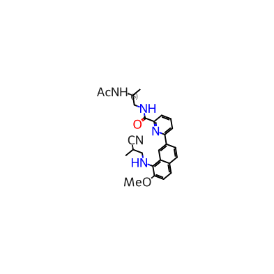 COc1ccc2ccc(-c3cccc(C(=O)NC[C@H](C)NC(C)=O)n3)cc2c1NCC(C)C#N